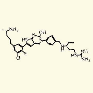 C=C[C@@H](CCNC(=N)N)NCc1ccc(N2C=c3cc(-c4cc(CCC[C@H](C)N)cc(Cl)c4F)[nH]c3=NC2O)cc1